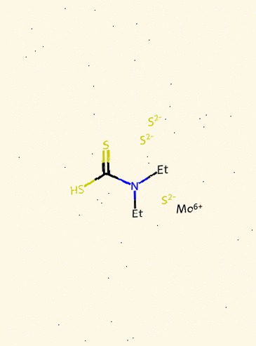 CCN(CC)C(=S)S.[Mo+6].[S-2].[S-2].[S-2]